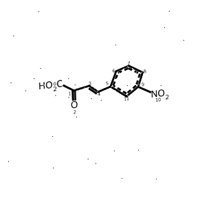 O=C(O)C(=O)/C=C/c1cccc([N+](=O)[O-])c1